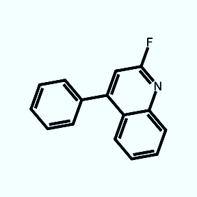 Fc1cc(-c2ccccc2)c2ccccc2n1